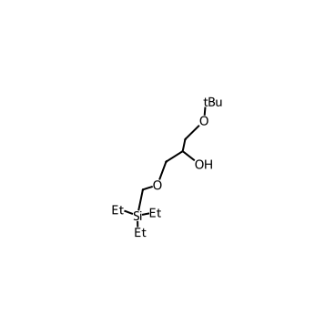 CC[Si](CC)(CC)COCC(O)COC(C)(C)C